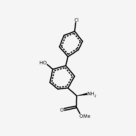 COC(=O)[C@H](N)c1ccc(O)c(-c2ccc(Cl)cc2)c1